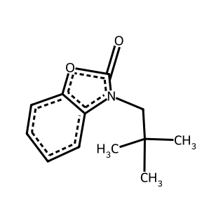 CC(C)(C)Cn1c(=O)oc2ccccc21